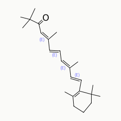 CC1=C(/C=C/C(C)=C/C=C/C(C)=C/C(=O)C(C)(C)C)C(C)(C)CCC1